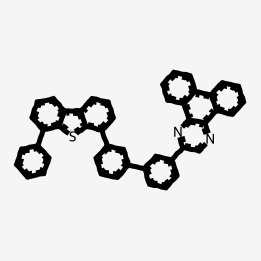 c1ccc(-c2cccc3c2sc2c(-c4cccc(-c5cccc(-c6cnc7c8ccccc8c8ccccc8c7n6)c5)c4)cccc23)cc1